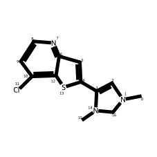 CN1C=C(c2cc3nccc(Cl)c3s2)N(C)C1